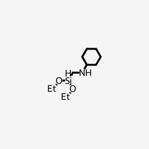 CCO[SiH](CNC1CCCCC1)OCC